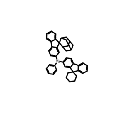 c1ccc(N(c2ccc3c(c2)C2(CCCCC2)c2ccccc2-3)c2ccc3c(c2)C2(c4ccccc4-3)C3CC4CC(C3)CC2C4)cc1